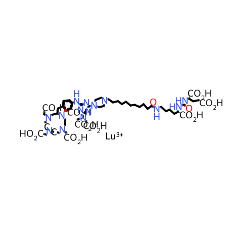 O=C(O)CC[C@H](NC(=O)N[C@@H](CCCCNC(=O)CCCCCCCCCCN1CCN(c2nc(Nc3ccc(CC4CN(CC(=O)O)CCN(CC(=O)O)CCN(CC(=O)O)CCN4CC(=O)O)cc3)nc(N(CC(=O)O)CC(=O)O)n2)CC1)C(=O)O)C(=O)O.[Lu+3]